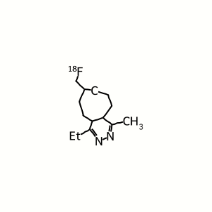 CCC1=NN=C(C)C2CCCC(C[18F])CCC12